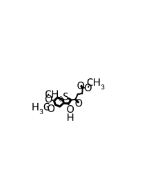 COC(=O)CCC(=O)c1sc2cc(OC)c(OC)cc2c1O